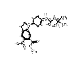 COC(=O)c1cc2c(cc1[N+](=O)[O-])CCN2C1CCC(NC(=O)OC(C)(C)C)CC1